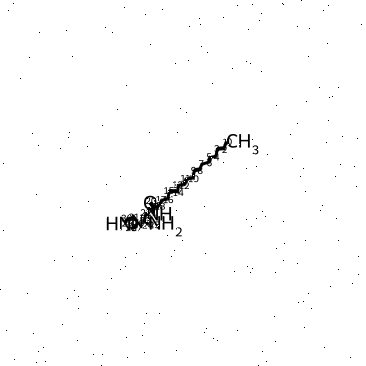 CCC=CCC=CCC=CCC=CCC=CCCCC(=O)NCC(CN)N1CCNCC1